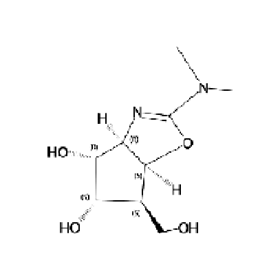 CN(C)C1=N[C@@H]2[C@@H](O)[C@@H](O)[C@H](CO)[C@@H]2O1